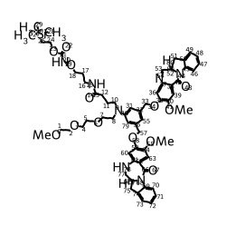 COCCOCCOCCN(CCCC(=O)NCCCONC(=O)OCC[Si](C)(C)C)c1cc(COc2cc3c(cc2OC)C(=O)N2c4ccccc4C[C@H]2C=N3)cc(COc2cc3c(cc2OC)C(=O)N2c4ccccc4C[C@H]2CN3)c1